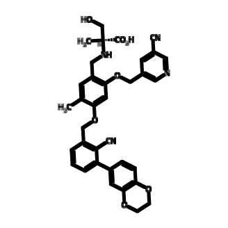 Cc1cc(CN[C@@](C)(CO)C(=O)O)c(OCc2cncc(C#N)c2)cc1OCc1cccc(-c2ccc3c(c2)OCCO3)c1C#N